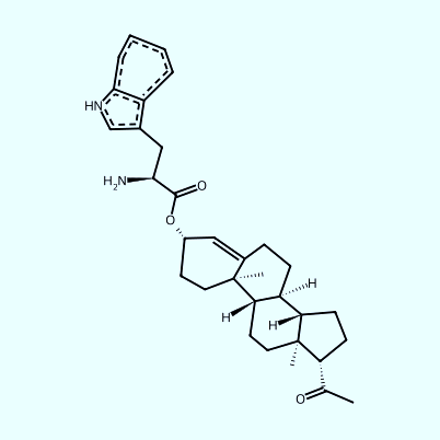 CC(=O)[C@H]1CC[C@H]2[C@@H]3CCC4=C[C@@H](OC(=O)[C@@H](N)Cc5c[nH]c6ccccc56)CC[C@]4(C)[C@H]3CC[C@]12C